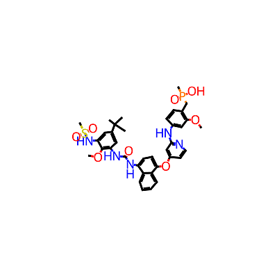 COc1cc(Nc2cc(Oc3ccc(NC(=O)Nc4cc(C(C)(C)C)cc(NS(C)(=O)=O)c4OC)c4ccccc34)ccn2)ccc1CP(C)(=O)O